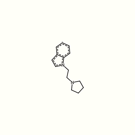 [c]1ccc2c(c1)ccn2CCN1CCCC1